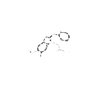 CCCCC(CC)Cn1/c(=N\c2ccccc2)sc2cc(N=N)c(O)cc21